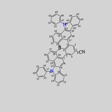 N#Cc1cc2c3c(c1)-c1cc4c5ccccc5n(-c5ccccc5)c4c4cccc(c14)B3c1cccc3c1c-2cc1c2ccccc2n(-c2ccccc2)c31